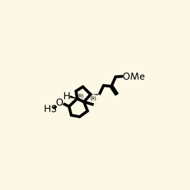 C=C(CC[C@H]1CC[C@H]2C(OS)CCCC12C)COC